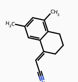 Cc1cc(C)c2c(c1)C(=CC#N)CCC2